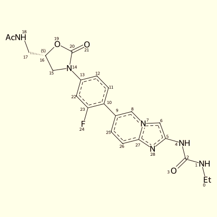 CCNC(=O)Nc1cn2cc(-c3ccc(N4C[C@H](CNC(C)=O)OC4=O)cc3F)ccc2n1